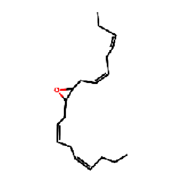 CC/C=C\C/C=C\CC1OC1C/C=C\C/C=C\CCC